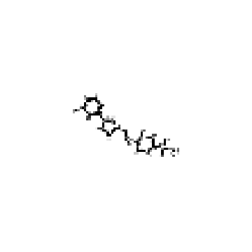 Cc1cccc(-n2cc(COc3ncc(C(C)(C)O)cn3)nn2)c1